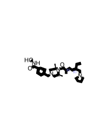 C=C/C(=C\C=C(/C)C(=O)N1[C@H](C)CN(Cc2ccc(C(=O)NO)cc2)C[C@@H]1C)CN1CCCC1